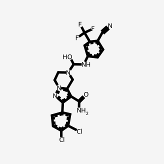 N#Cc1ccc(NC(O)N2CCn3nc(-c4ccc(Cl)c(Cl)c4)c(C(N)=O)c3C2)cc1C(F)(F)F